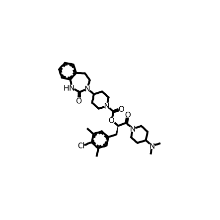 Cc1cc(C[C@@H](OC(=O)N2CCC(N3CCc4ccccc4NC3=O)CC2)C(=O)N2CCC(N(C)C)CC2)cc(C)c1Cl